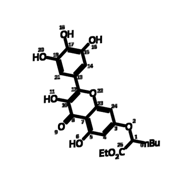 CCCCC(Oc1cc(O)c2c(=O)c(O)c(-c3cc(O)c(O)c(O)c3)oc2c1)C(=O)OCC